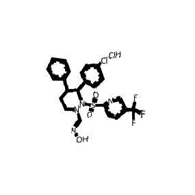 Cl.O=S(=O)(c1ccc(C(F)(F)F)cn1)N1C(c2ccc(Cl)cc2)C(c2ccccc2)CCN1C=NO